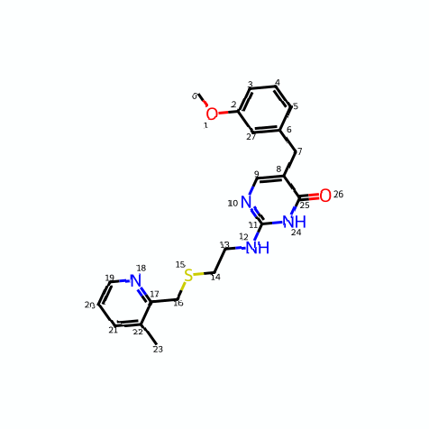 COc1cccc(Cc2cnc(NCCSCc3ncccc3C)[nH]c2=O)c1